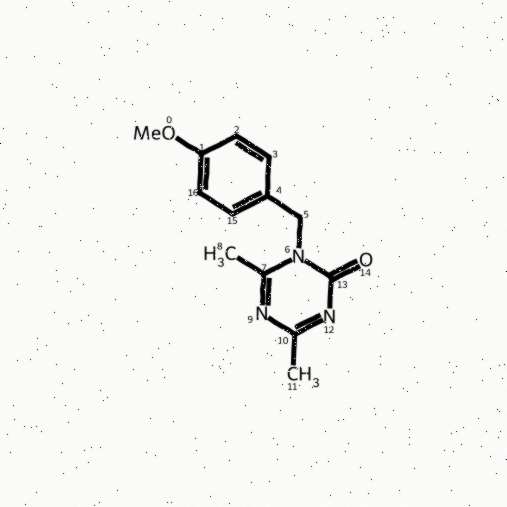 COc1ccc(Cn2c(C)nc(C)nc2=O)cc1